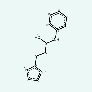 OC(CCc1ncc[nH]1)Nc1ccccc1